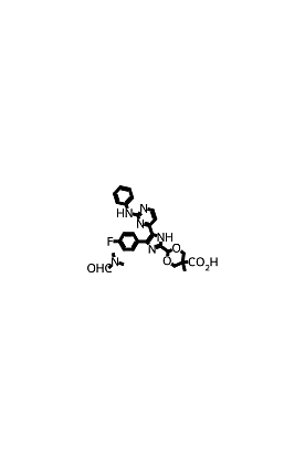 CC1(C(=O)O)COC(c2nc(-c3ccc(F)cc3)c(-c3ccnc(Nc4ccccc4)n3)[nH]2)OC1.CN(C)C=O